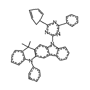 CC1(C)c2ccccc2N(c2ccccc2)c2cc3c4ccccc4n(-c4nc(-c5ccccc5)nc(C5C=CC=CC5)n4)c3cc21